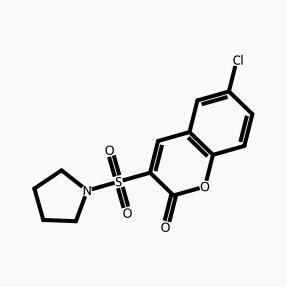 O=c1oc2ccc(Cl)cc2cc1S(=O)(=O)N1CCCC1